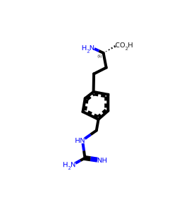 N=C(N)NCc1ccc(CC[C@H](N)C(=O)O)cc1